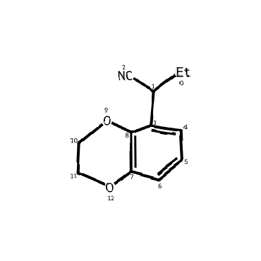 CCC(C#N)c1cccc2c1OCCO2